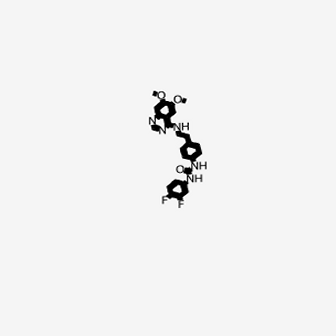 COc1cc2ncnc(NCCc3ccc(NC(=O)Nc4ccc(F)c(F)c4)cc3)c2cc1OC